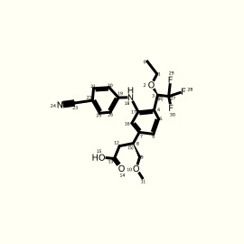 CCO[C@H](c1ccc([C@@H](COC)CC(=O)O)cc1Nc1ccc(C#N)cc1)C(F)(F)F